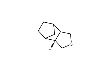 C1CC2CC1C1CSC[C@H]21